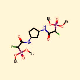 CCOP(=O)(OCC)C(F)C(=O)N[C@@H]1CC[C@H](NC(=O)C(F)P(=O)(OCC)OCC)C1